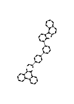 c1cc(-c2ccc(-c3cnc4c5ccccc5c5ccccc5c4n3)cc2)cc(-c2cccc3c2oc2ccc4ccccc4c23)c1